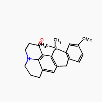 COc1ccc2c(c1)[Si](C)(C)c1c(cc3c4c1C(=O)CCN4CCC3)C2